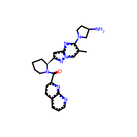 Cc1cn2nc([C@@H]3CCCCN3C(=O)c3ccc4cccnc4n3)cc2nc1N1CCC(N)C1